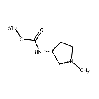 [CH2]N1CC[C@@H](NC(=O)OC(C)(C)C)C1